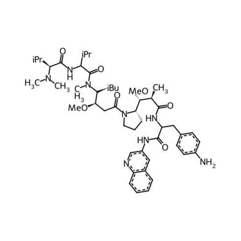 CC[C@H](C)C([C@@H](CC(=O)N1CCC[C@H]1[C@H](OC)[C@@H](C)C(=O)NC(Cc1ccc(N)cc1)C(=O)Nc1cnc2ccccc2c1)OC)N(C)C(=O)C(NC(=O)[C@H](C(C)C)N(C)C)C(C)C